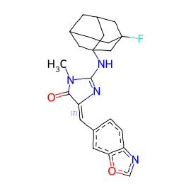 CN1C(=O)/C(=C/c2ccc3ncoc3c2)N=C1NC12CC3CC(CC(F)(C3)C1)C2